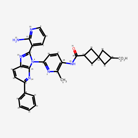 Cc1nc(-n2c(-c3cccnc3N)nc3ccc(-c4ccccc4)nc32)ccc1NC(=O)C1CC2(CC(C(=O)O)C2)C1